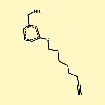 C#CCCCCCCOc1cccc(CN)c1